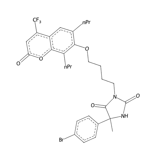 CCCc1cc2c(C(F)(F)F)cc(=O)oc2c(CCC)c1OCCCCN1C(=O)NC(C)(c2ccc(Br)cc2)C1=O